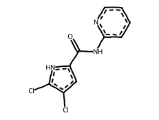 O=C(Nc1ccccn1)c1cc(Cl)c(Cl)[nH]1